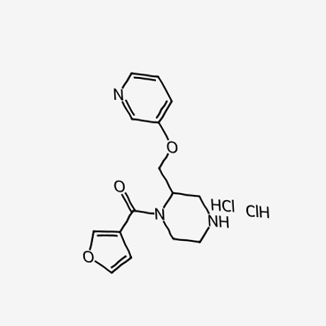 Cl.Cl.O=C(c1ccoc1)N1CCNCC1COc1cccnc1